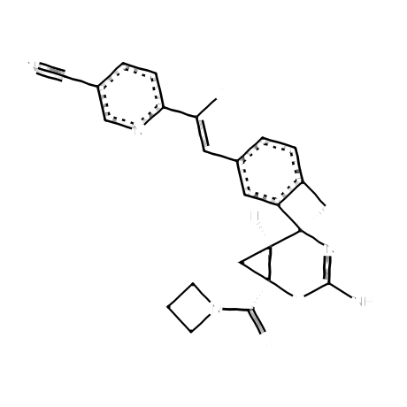 N#Cc1ccc(/C(F)=C/c2ccc3c(c2)[C@@]2(C3)N=C(N)S[C@@]3(C(=O)N4CCC4)C[C@H]32)nc1